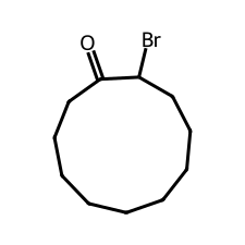 O=C1CCCCCCCCCC1Br